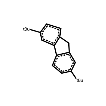 CC(C)(C)c1ccc2c(c1)[CH]c1ccc(C(C)(C)C)cc1-2